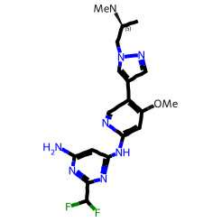 CN[C@@H](C)Cn1cc(-c2cnc(Nc3cc(N)nc(C(F)F)n3)cc2OC)cn1